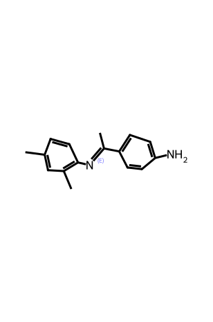 C/C(=N\c1ccc(C)cc1C)c1ccc(N)cc1